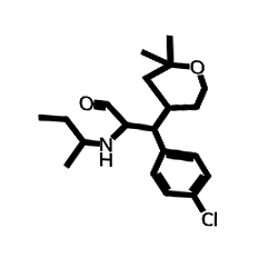 CCC(C)NC(C=O)C(c1ccc(Cl)cc1)C1CCOC(C)(C)C1